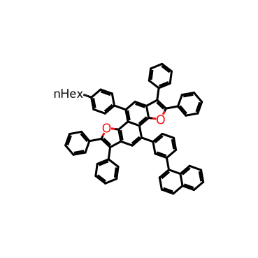 CCCCCCc1ccc(-c2cc3c(-c4ccccc4)c(-c4ccccc4)oc3c3c(-c4cccc(-c5cccc6ccccc56)c4)cc4c(-c5ccccc5)c(-c5ccccc5)oc4c23)cc1